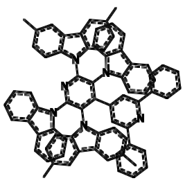 Cc1ccc2c(c1)c1cc(C)ccc1n2-c1nc(-n2c3ccccc3c3ccccc32)c(-n2c3ccc(C)cc3c3cc(C)ccc32)c(-c2cc(-c3ccccc3)nc(-c3ccccc3)c2)c1-n1c2ccccc2c2ccccc21